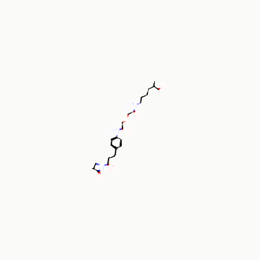 CC(C=O)CCCCNC(=O)COCC(=O)Nc1ccc(CCC(=O)N2CCC2=O)cc1